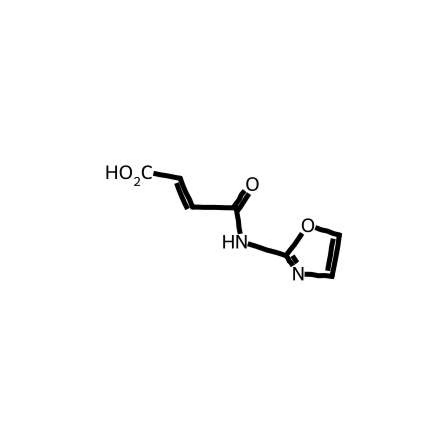 O=C(O)/C=C/C(=O)Nc1ncco1